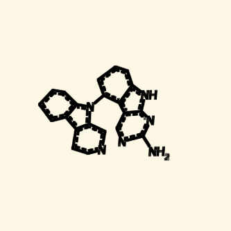 Nc1ncc2c(n1)[nH]c1cccc(-n3c4ccccc4c4ccncc43)c12